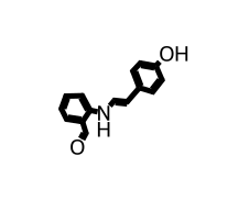 O=Cc1ccccc1N/C=C/c1ccc(O)cc1